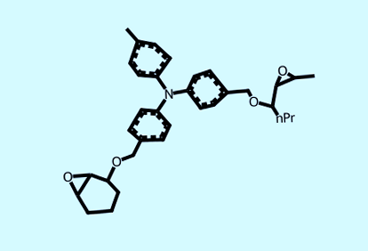 CCCC(OCc1ccc(N(c2ccc(C)cc2)c2ccc(COC3CCCC4OC34)cc2)cc1)C1OC1C